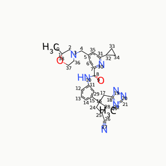 CC1CN(Cc2cc(C(=O)Nc3cccc(C4(Cc5nncn5C)CC(C#N)C4)c3)nc(C3CC3)c2)CCO1